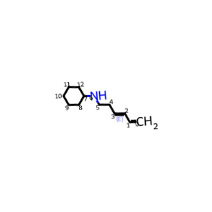 C=C/C=C/CCNC1CCCCC1